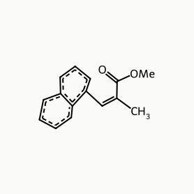 COC(=O)C(C)=Cc1cccc2ccccc12